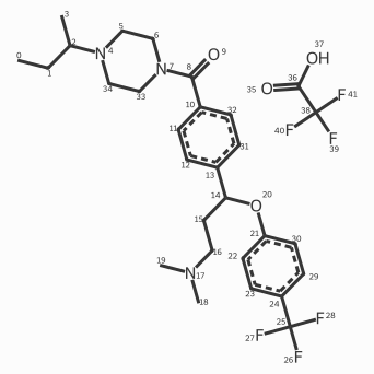 CCC(C)N1CCN(C(=O)c2ccc(C(CCN(C)C)Oc3ccc(C(F)(F)F)cc3)cc2)CC1.O=C(O)C(F)(F)F